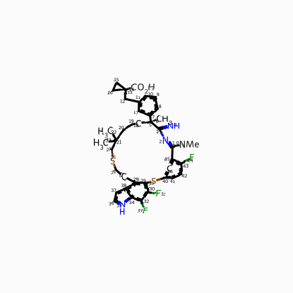 CN/C1=N\C(=N)[C@@](C)(c2cccc(CC3(C(=O)O)CC3)c2)CCCC(C)(C)CSCCc2c(c(F)c(F)c3[nH]ccc23)Sc2ccc(F)c1c2